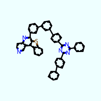 c1ccc(-c2ccc(-c3nc(-c4ccccc4)nc(-c4ccc(-c5cccc(-c6cccc(-c7nc8ccncc8c8c7sc7ccccc78)c6)c5)cc4)n3)cc2)cc1